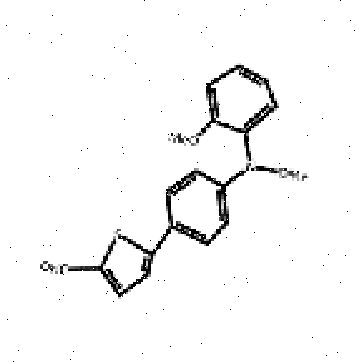 COc1ccccc1N(OC)c1ccc(-c2ccc(C=O)s2)cc1